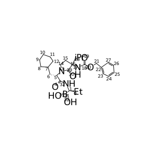 CC[C@H](NC(=O)[C@H](CC1CCCCC1)N1CCC(NC(=O)OCc2ccccc2)(C(C)C)C1=O)B(O)O